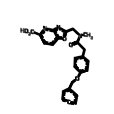 CN(Cc1nc2nc(C(=O)O)ccc2o1)C(=O)Cc1ccc(OCc2ccccc2)cc1